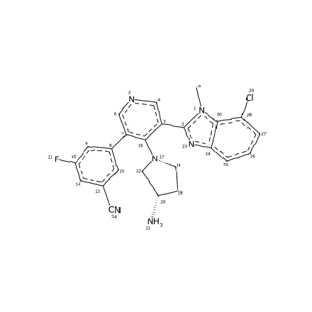 Cn1c(-c2cncc(-c3cc(F)cc(C#N)c3)c2N2CC[C@H](N)C2)nc2cccc(Cl)c21